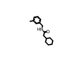 Cc1cccc(CNC(=O)CC2CCCCC2)c1